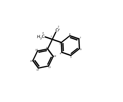 C[C]([Cr])(c1ccccc1)c1ccccc1